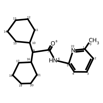 Cc1cccc(NC(=O)C(C2CCCCC2)C2CCCCC2)n1